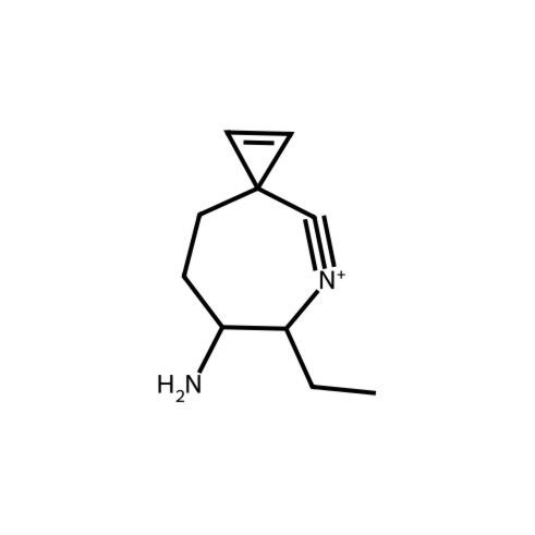 CCC1[N+]#CC2(C=C2)CCC1N